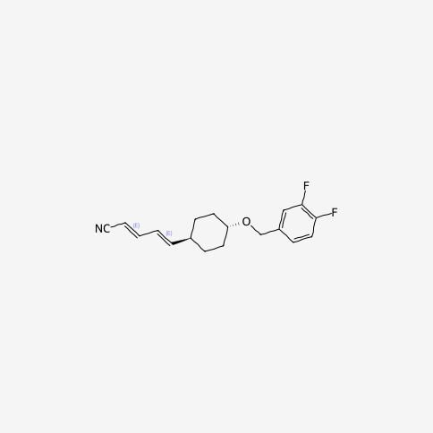 N#C/C=C/C=C/[C@H]1CC[C@H](OCc2ccc(F)c(F)c2)CC1